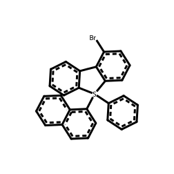 Brc1cccc2c1-c1ccccc1S2(c1ccccc1)c1cccc2ccccc12